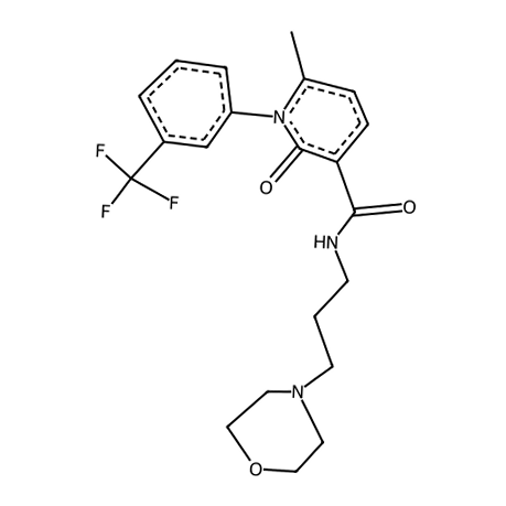 Cc1ccc(C(=O)NCCCN2CCOCC2)c(=O)n1-c1cccc(C(F)(F)F)c1